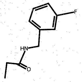 CCC(=O)NCc1cccc(F)c1